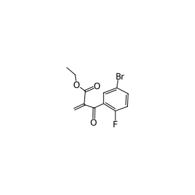 C=C(C(=O)OCC)C(=O)c1cc(Br)ccc1F